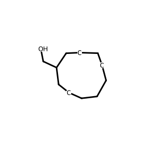 OCC1CCCCCCCCC1